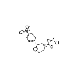 CC(Cl)OC(=O)N1CCO[C@H](c2ccc([N+](=O)[O-])cc2)C1